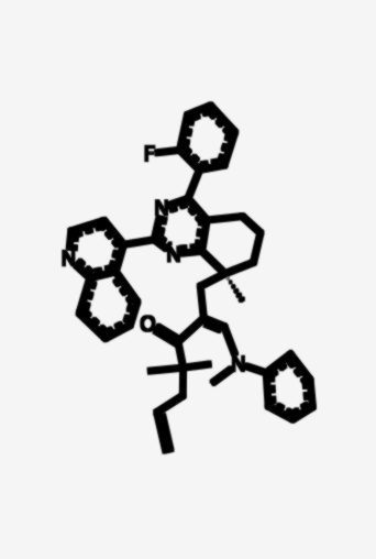 C=CCC(C)(C)C(=O)/C(=C\N(C)c1ccccc1)C[C@]1(C)CCCc2c(-c3ccccc3F)nc(-c3ccnc4ccccc34)nc21